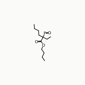 CCCCOC(=O)C(CC)(CCCC)P=O